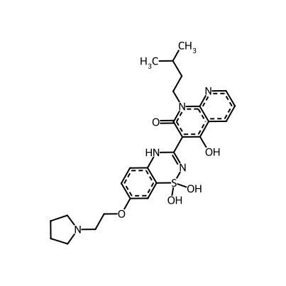 CC(C)CCn1c(=O)c(C2=NS(O)(O)c3cc(OCCN4CCCC4)ccc3N2)c(O)c2cccnc21